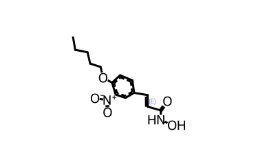 CCCCCOc1ccc(/C=C/C(=O)NO)cc1[N+](=O)[O-]